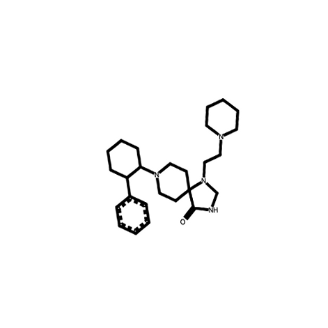 O=C1NCN(CCN2CCCCC2)C12CCN(C1CCCCC1c1ccccc1)CC2